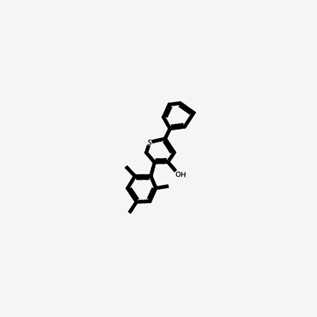 Cc1cc(C)c(C2=C(O)C=C(c3ccccc3)SC2)c(C)c1